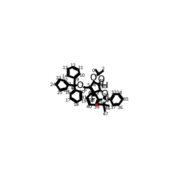 CC1(C)OC2C(COC(c3ccccc3)(c3ccccc3)c3ccccc3)=C(F)[C@H](O[Si](c3ccccc3)(c3ccccc3)C(C)(C)C)[C@@H]2O1